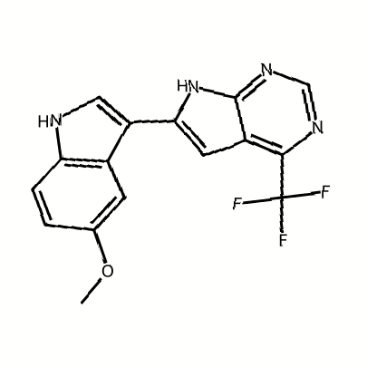 COc1ccc2[nH]cc(-c3cc4c(C(F)(F)F)ncnc4[nH]3)c2c1